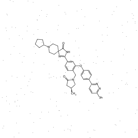 CC(C)c1ccc(-c2ccc(Oc3cc(C4=NC5(CCN(C6CCCC6)CC5)C(=O)N4)ccc3CN3C[C@@H](C)CC3=O)cc2)nn1